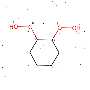 OOC1CCCCC1OO